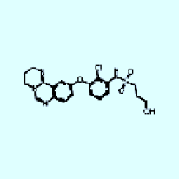 O=S(=O)(CCCO)Nc1cccc(Oc2ccc3c(c2)C2=NCCCN2C=N3)c1Cl